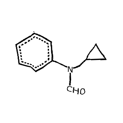 O=CN(c1c[c]ccc1)C1CC1